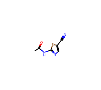 CC(=O)Nc1ncc(C#N)s1